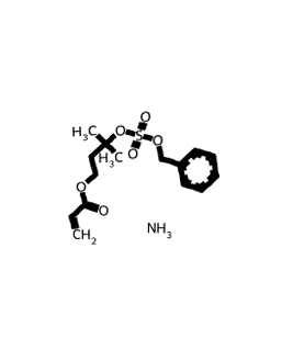 C=CC(=O)OCCC(C)(C)OS(=O)(=O)OCc1ccccc1.N